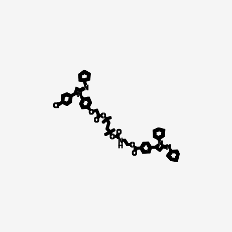 CC(C)(CCC(C)(C)OC(=O)NCCOC(=O)c1ccc(C2C/C(=N\c3ccccc3)N2c2ccccc2)cc1)OC(=O)COc1ccc(N2/C(=N/c3ccccc3)CC2c2ccc(Cl)cc2)cc1